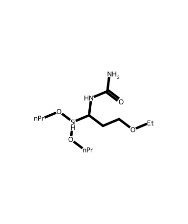 CCCO[SiH](OCCC)C(CCOCC)NC(N)=O